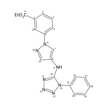 CCOC(=O)c1cccc(-n2cc(Nc3nnnn3-c3ccccc3)cn2)c1